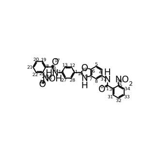 O=C(Nc1ccc2c(c1)NC(c1ccc(NC(=O)c3ccccc3[N+](=O)O)cc1)O2)c1ccccc1[N+](=O)[O-]